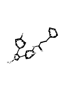 Cn1cc(-c2ccnc(NC(=O)CCc3ccccc3)c2)c(-c2ccc(F)cc2)n1